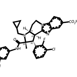 C[C@]1(C(=O)Nc2cccc(Cl)c2)[C@@H](c2cccc(Cl)c2F)[C@@H]2c3nc4cc(C(=O)O)ccc4n3CC[C@@H]2N1CC1CC1